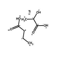 CC(O)C(=O)O.CCCC(=O)O.[Ti]